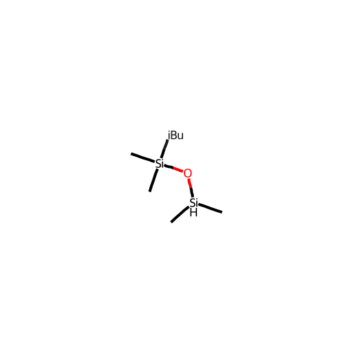 CCC(C)[Si](C)(C)O[SiH](C)C